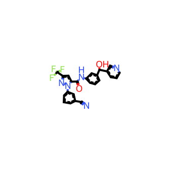 N#Cc1cccc(-n2nc(C(F)(F)F)cc2C(=O)Nc2cccc(C(O)c3cccnc3)c2)c1